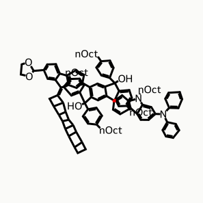 CCCCCCCCc1ccc(C(O)(c2ccc(CCCCCCCC)cc2)c2cc(-c3ccc4c5ccc(N(c6ccccc6)c6ccccc6)cc5n(CCCCCCCC)c4c3)c(C(O)(c3ccc(CCCCCCCC)cc3)c3ccc(CCCCCCCC)cc3)cc2-c2ccc3c(c2)/C(=C2/CC4C2C2C4C4C5C6C7CCC7C6C5C24)c2cc(C4OCCO4)ccc2-3)cc1